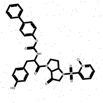 O=C(NC(Cc1ccc(O)cc1)C(=O)N1CCC2C1C(=O)CN2S(=O)(=O)c1cccc[n+]1[O-])Oc1ccc(-c2ccccc2)cc1